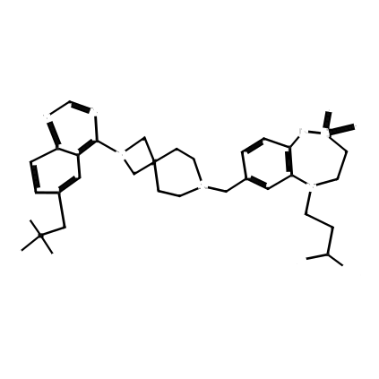 CC(C)CCN1CCS(=O)(=O)Nc2ccc(CN3CCC4(CC3)CN(c3ncnc5ccc(CC(F)(F)F)cc35)C4)cc21